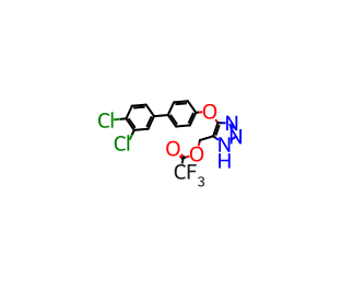 O=C(OCc1[nH]nnc1Oc1ccc(-c2ccc(Cl)c(Cl)c2)cc1)C(F)(F)F